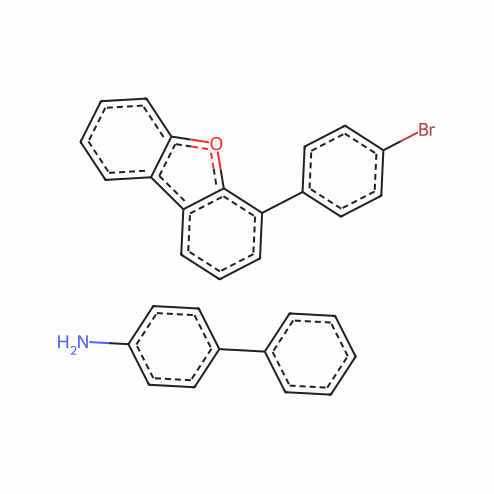 Brc1ccc(-c2cccc3c2oc2ccccc23)cc1.Nc1ccc(-c2ccccc2)cc1